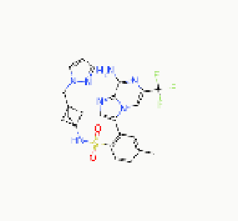 Cc1ccc(S(=O)(=O)NC23CC(Cn4cccn4)(C2)C3)c(-c2cnc3c(N)nc(C(F)(F)F)cn23)c1